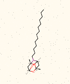 CCCCCCCCCCCCCCP1[C@@]2(C)C[C@]3(C)O[C@@](C)(C[C@@]1(C)O3)O2